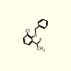 CC(F)c1cccc(Cl)c1SCc1ccccc1